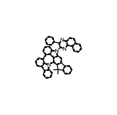 CC1(C)c2ccccc2-c2cc3c4c5c(cccc5n3-c3nc5c(ccc6ccccc65)nc3-c3ccccc3)c3cccc5c6ccccc6n(c4c21)c35